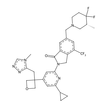 C[C@@H]1CN(Cc2cc3c(c(C(F)(F)F)c2)CN(c2cc(C4(Cc5nncn5C)COC4)cc(C4CC4)n2)C3=O)CCC1(F)F